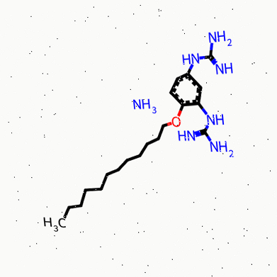 CCCCCCCCCCCCOc1ccc(NC(=N)N)cc1NC(=N)N.N